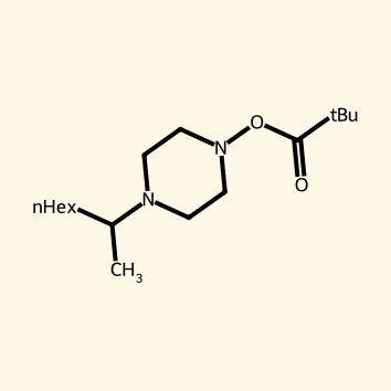 CCCCCCC(C)N1CCN(OC(=O)C(C)(C)C)CC1